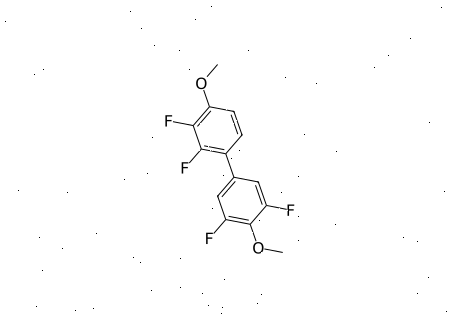 COc1ccc(-c2cc(F)c(OC)c(F)c2)c(F)c1F